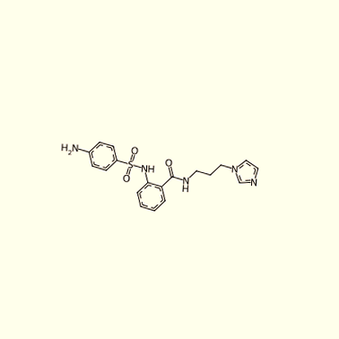 Nc1ccc(S(=O)(=O)Nc2ccccc2C(=O)NCCCn2ccnc2)cc1